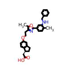 Cc1ccc(-c2nc(CCOc3ccc4c(c3)CC[C@H]4CC(=O)O)c(C)o2)cc1NCc1ccccc1